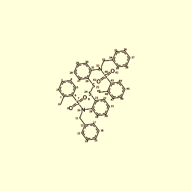 Cc1ccccc1S(=O)(=O)N(Cc1ccccc1)c1ccccc1SSc1ccccc1N(Cc1ccccc1)S(=O)(=O)c1ccccc1C